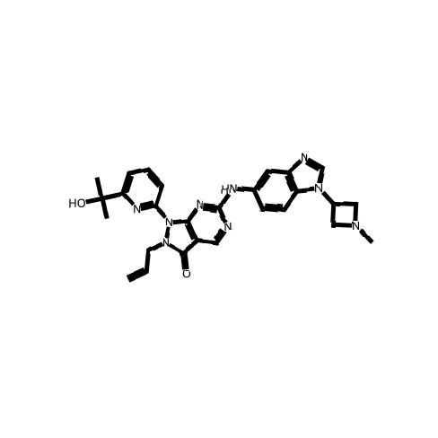 C=CCn1c(=O)c2cnc(Nc3ccc4c(c3)ncn4C3CN(C)C3)nc2n1-c1cccc(C(C)(C)O)n1